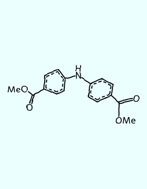 COC(=O)c1ccc(Nc2ccc(C(=O)OC)cc2)cc1